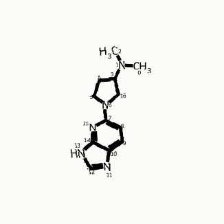 CN(C)C1CCN(c2ccc3n[c][nH]c3n2)C1